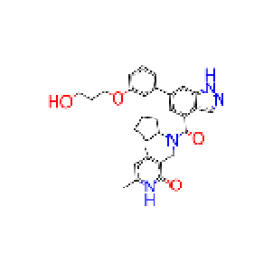 Cc1cc(C)c(CN(C(=O)c2cc(-c3cccc(OCCCO)c3)cc3[nH]ncc23)C2CCCC2)c(=O)[nH]1